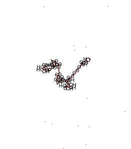 C=C1C[C@H]2[C@H](O)N(C(=O)OCc3ccc(O[C@@H]4O[C@H](C(=O)O)[C@@H](O)[C@H](O)[C@H]4O)cc3)c3cc(OCCCCCOc4cc5c(cc4OC)C(=O)N4CC(=C)C[C@H]4[C@H](O)N5C(=O)OCc4ccc(O[C@@H]5O[C@H](C(=O)O)[C@@H](O)[C@H](O)[C@H]5O)c(NC(=O)CCOCCOCCOCCOCCNC(=O)OCC5[C@H]6CCC#CCC[C@@H]56)c4)c(OC)cc3C(=O)N2C1